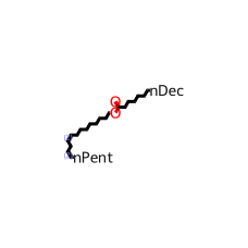 CCCCC/C=C\C/C=C\CCCCCCCCOC(=O)CCCCCCCCCCCCCCCC